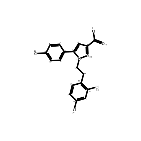 O=C(Cl)c1cc(-c2ccc(Cl)cc2)n(CCc2ccc(Cl)cc2Cl)n1